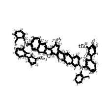 Cc1ccccc1N(c1ccc2cc3c(cc2c1)oc1c3cc(C(C)C)c2c3cc4ccc(N(c5ccccc5C)c5cccc6c5oc5c(C(C)(C)C)cccc56)cc4cc3oc12)c1cccc2c1oc1c(C(C)(C)C)cccc12